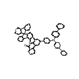 O=c1c2ccccc2c2cc(-c3ccc(N(C4=CC=C(c5ccccc5)CC4)c4ccc(-c5ccccc5)cc4)cc3)cc3c4ccc5c(c4n1c23)-c1ccccc1C51c2ccccc2-c2ccccc21